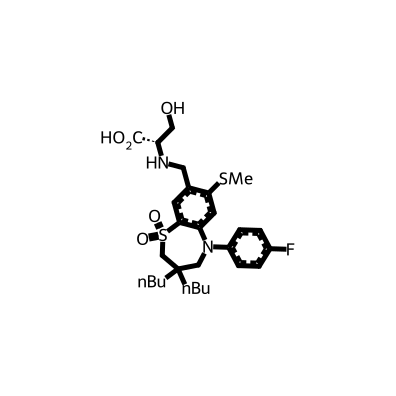 CCCCC1(CCCC)CN(c2ccc(F)cc2)c2cc(SC)c(CN[C@@H](CO)C(=O)O)cc2S(=O)(=O)C1